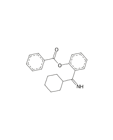 N=C(c1ccccc1OC(=O)c1ccccc1)C1CCCCC1